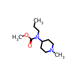 CCCN(C(=O)OC)C1CCN(C)CC1